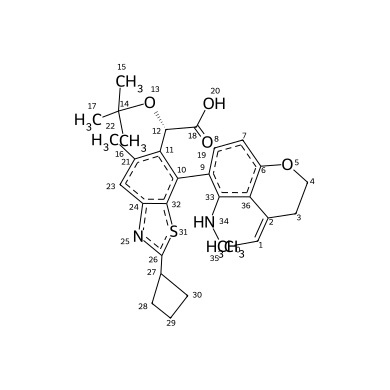 C/C=C1/CCOc2ccc(-c3c([C@H](OC(C)(C)C)C(=O)O)c(C)cc4nc(C5CCC5)sc34)c(NC)c21